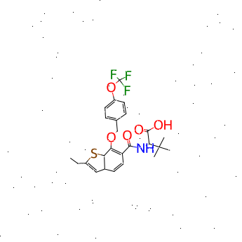 CCC1=CC2C=CC(C(=O)NC(C(=O)O)C(C)(C)C)=C(OCc3ccc(OC(F)(F)F)cc3)C2S1